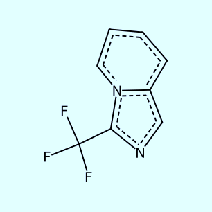 FC(F)(F)c1ncc2ccccn12